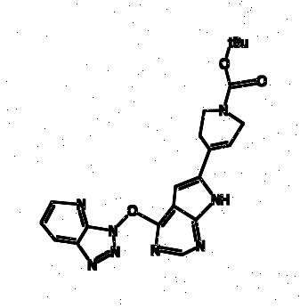 CC(C)(C)OC(=O)N1CC=C(c2cc3c(On4nnc5cccnc54)ncnc3[nH]2)CC1